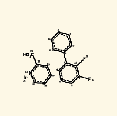 Fc1cccc(-c2ccccn2)c1F.O=C(O)c1ccccn1.[Ir]